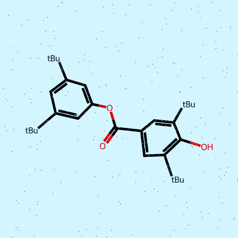 CC(C)(C)c1cc(OC(=O)c2cc(C(C)(C)C)c(O)c(C(C)(C)C)c2)cc(C(C)(C)C)c1